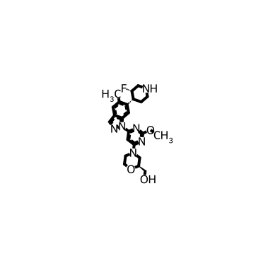 COc1nc(N2CCO[C@H](CO)C2)cc(-n2ncc3cc(C)c([C@H]4CCNC[C@H]4F)cc32)n1